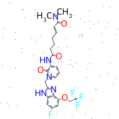 CN(C)C(=O)/C=C/CCCC(=O)Nc1cccn(Cc2nc3c(OCC(F)(F)F)cc(F)cc3[nH]2)c1=O